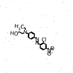 CCN(CCO)c1ccc(N=Nc2ccc([N+](=O)[O-])cc2Cl)cc1